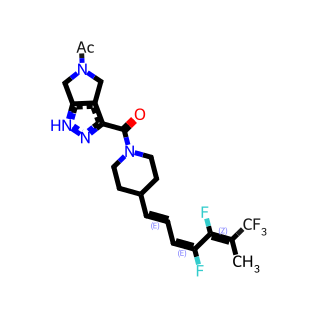 CC(=O)N1Cc2[nH]nc(C(=O)N3CCC(/C=C/C=C(F)\C(F)=C(/C)C(F)(F)F)CC3)c2C1